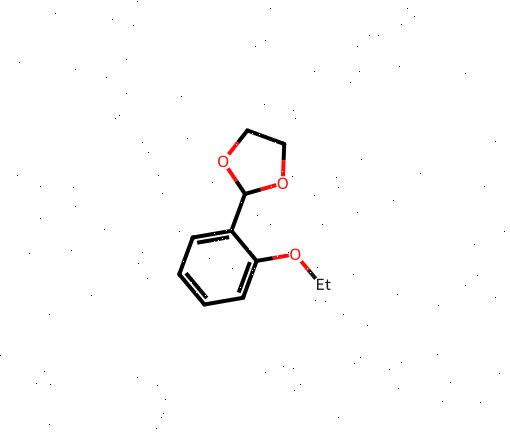 CCOc1ccccc1C1OCCO1